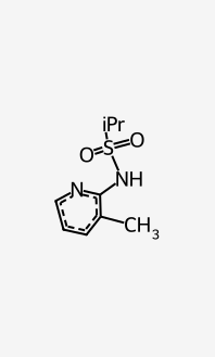 Cc1cccnc1NS(=O)(=O)C(C)C